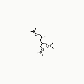 CC(COP(C)C)CC(COP(C)C)COP(C)C